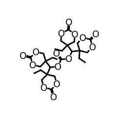 CCC1(C(OC(=O)OC(C2(CC)COC(=O)OC2)C2(CC)COC(=O)OC2)C2(CC)COC(=O)OC2)COC(=O)OC1